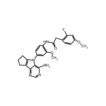 COc1ccc(CC(=O)Nc2ccc(-n3c4c(c5ncnc(N)c53)CCC4)cc2OC)c(F)c1